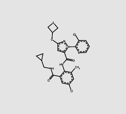 Cc1cc(Cl)cc(C(=O)NCC2CC2)c1NC(=O)c1cc(OC2CSC2)nn1-c1ncccc1Cl